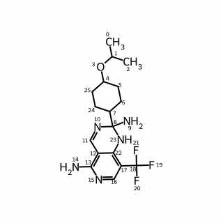 CC(C)OC1CCC(C2(N)N=Cc3c(N)ncc(C(F)(F)F)c3N2)CC1